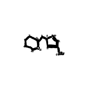 CC(C)(C)c1cnn(CC2CCCCO2)c1